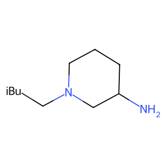 CCC(C)CN1CCCC(N)C1